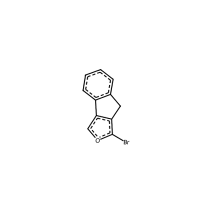 Brc1occ2c1Cc1ccccc1-2